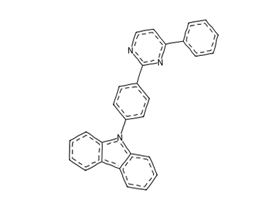 c1ccc(-c2ccnc(-c3ccc(-n4c5ccccc5c5ccccc54)cc3)n2)cc1